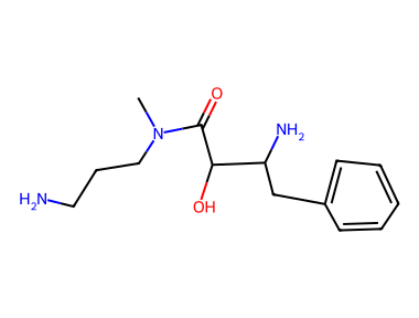 CN(CCCN)C(=O)C(O)C(N)Cc1ccccc1